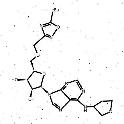 CC(C)(C)c1nc(COC[C@H]2O[C@@H](n3cnc4c(NC5CCOC5)ncnc43)[C@@H](O)[C@H]2O)no1